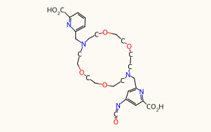 O=C=Nc1cc(CN2CCOCCOCCN(Cc3cccc(C(=O)O)n3)CCOCCOCC2)nc(C(=O)O)c1